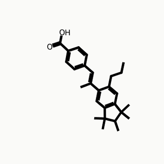 CCCc1cc2c(cc1C(C)=Cc1ccc(C(=O)O)cc1)C(C)(C)C(C)C2(C)C